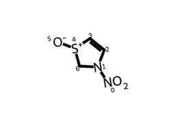 O=[N+]([O-])N1C=C[S+]([O-])C1